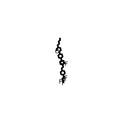 CCCCCC1CCC(C2CCC(c3ccc(CCC4CCC(/C(F)=C/C(F)(F)F)CC4)c(F)c3)CC2)OC1